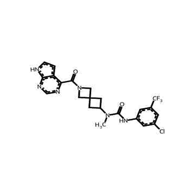 CN(C(=O)Nc1cc(Cl)cc(C(F)(F)F)c1)C1CC2(C1)CN(C(=O)c1ncnc3[nH]ccc13)C2